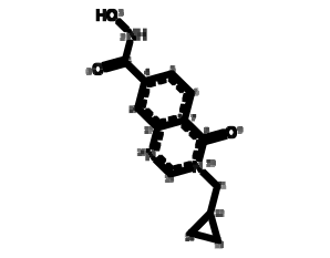 O=C(NO)c1ccc2c(=O)n(CC3CC3)cnc2c1